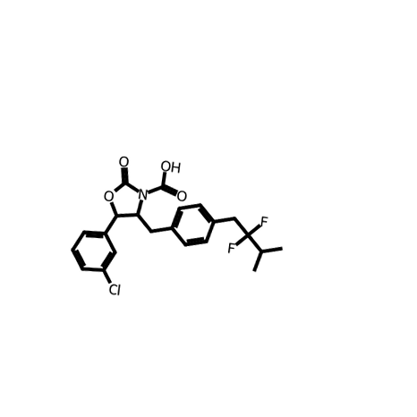 CC(C)C(F)(F)Cc1ccc(CC2C(c3cccc(Cl)c3)OC(=O)N2C(=O)O)cc1